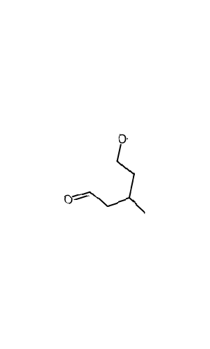 CC(CC=O)CC[O]